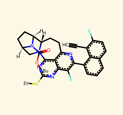 C#Cc1c(F)ccc2cccc(-c3nc4c5c(nc(SCC)nc5c3F)N3C[C@H]5CC[C@@H]([C@@H]3CC4)N5C(=O)OC(C)(C)C)c12